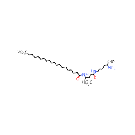 N[C@H]([C]=O)CCCCNC(=O)CC[C@H](NC(=O)CCCCCCCCCCCCCCCCCCC(=O)O)C(=O)O